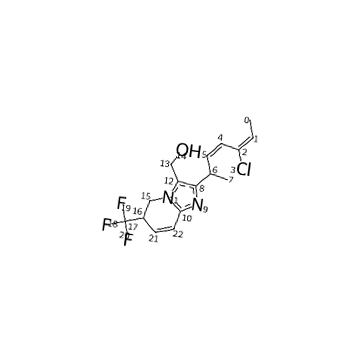 C/C=C(Cl)\C=C/C(C)c1nc2n(c1CO)CC(C(F)(F)F)C=C2